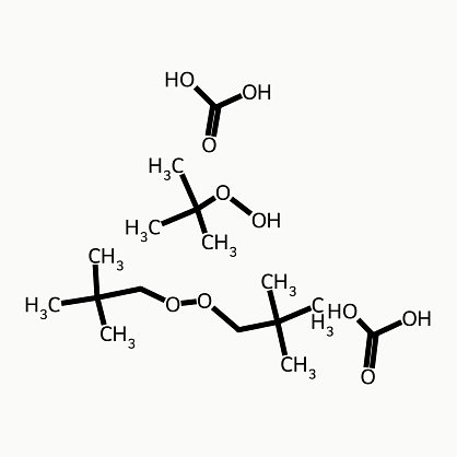 CC(C)(C)COOCC(C)(C)C.CC(C)(C)OO.O=C(O)O.O=C(O)O